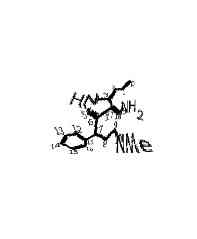 C=C/C=c1/[nH]cc(C(CCNC)c2ccccc2)/c1=C/N